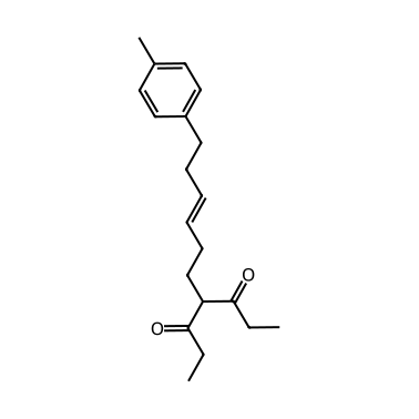 CCC(=O)C(CC/C=C/CCc1ccc(C)cc1)C(=O)CC